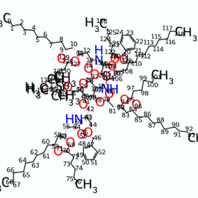 CCCCCCCCCCC[C@H](CC(=O)N[C@@H](COCc1ccccc1)CO[C@H]1O[C@H](CO[Si](C)(C)C(C)(C)C)[C@@H](OC[C@H](COCc2ccccc2)NC(=O)C[C@@H](CCCCCCCCCCC)OC(=O)CCCCC)[C@H](OC(=O)C[C@@H](CCCCCCCCCCC)OC(=O)CCCCC)[C@@H]1NC(=O)C[C@@H](CCCCCCCCCCC)OC(=O)CCCCC)OC(=O)CCCCC